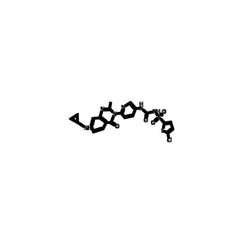 Cc1nc2cc(NC3CC3)ccc2c(=O)n1-c1ccc(NC(=O)NS(=O)(=O)c2ccc(Cl)s2)cn1